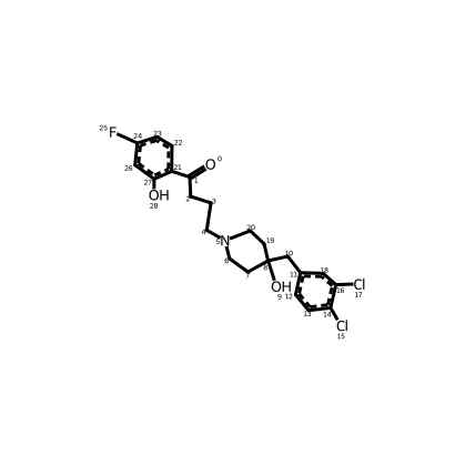 O=C(CCCN1CCC(O)(Cc2ccc(Cl)c(Cl)c2)CC1)c1ccc(F)cc1O